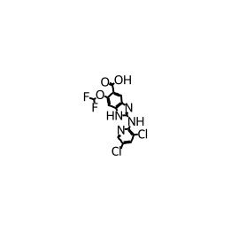 O=C(O)c1cc2nc(Nc3ncc(Cl)cc3Cl)[nH]c2cc1OC(F)F